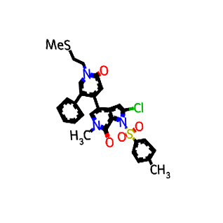 CSCCn1cc(-c2ccccc2)c(-c2cn(C)c(=O)c3c2cc(Cl)n3S(=O)(=O)c2ccc(C)cc2)cc1=O